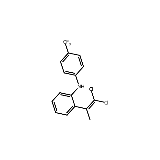 CC(=C(Cl)Cl)c1ccccc1Nc1ccc(C(F)(F)F)cc1